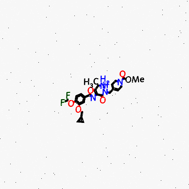 COC(=O)N1CC=C(CNC(=O)c2nc(-c3ccc(OC(F)F)c(OCC4CC4)c3)oc2[C@H](C)N)CC1